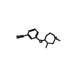 CC1CN(C)CCCC1Oc1cccc(C#N)c1